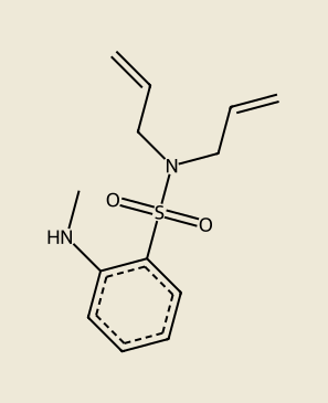 C=CCN(CC=C)S(=O)(=O)c1ccccc1NC